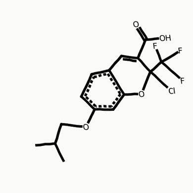 CC(C)COc1ccc2c(c1)OC(Cl)(C(F)(F)F)C(C(=O)O)=C2